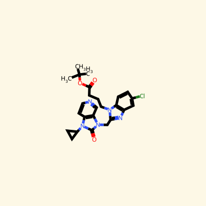 CC(C)(C)OC(=O)CCCn1c(Cn2c(=O)n(C3CC3)c3ccncc32)nc2cc(Cl)ccc21